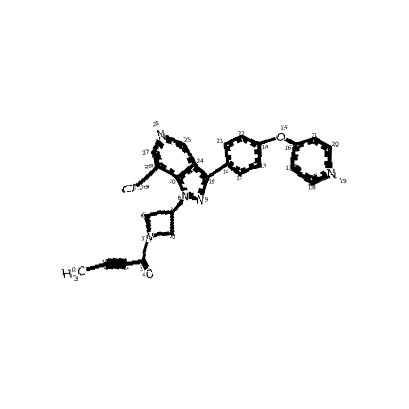 CC#CC(=O)N1CC(n2nc(-c3ccc(Oc4ccncc4)cc3)c3cncc(Cl)c32)C1